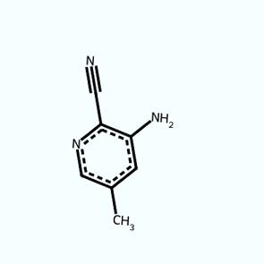 Cc1cnc(C#N)c(N)c1